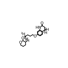 [2H]C1CCCOC1OC([2H])([2H])CCCOc1ccc2c(c1)NC(=O)CC2([2H])[2H]